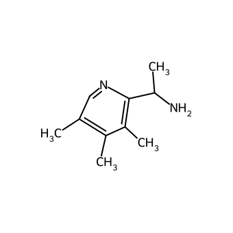 Cc1cnc(C(C)N)c(C)c1C